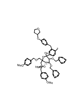 COc1ccc(COCC2(COCc3ccc(OC)cc3)OC(O)(c3ccc(F)c(Cc4ccc(OC5CCOC5)cc4)c3)C(OCc3ccccc3)[C@@H](OCc3ccccc3)[C@@H]2OB=N)cc1